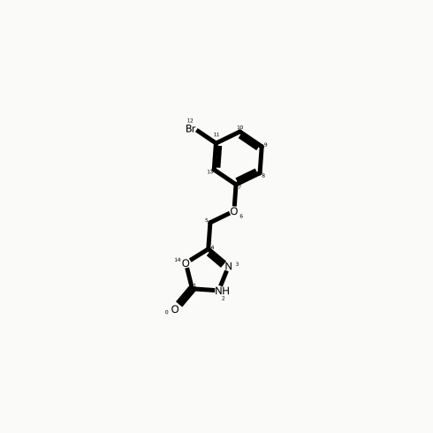 O=c1[nH]nc(COc2cccc(Br)c2)o1